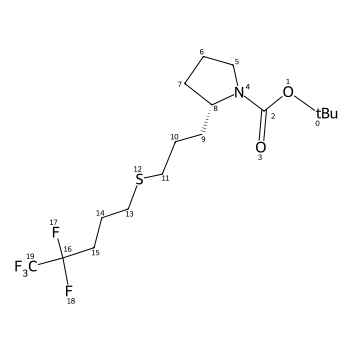 CC(C)(C)OC(=O)N1CCC[C@H]1CCCSCCCC(F)(F)C(F)(F)F